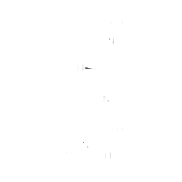 CN(C)CC(=O)N1CC2CN(C)C[C@H]2C1